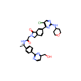 C[C@@H](NC(=O)CN1Cc2ccc(-c3nc(NC4CCOCC4)ncc3Cl)cc2C1=O)c1ccc(-c2nccc(CO)n2)cc1